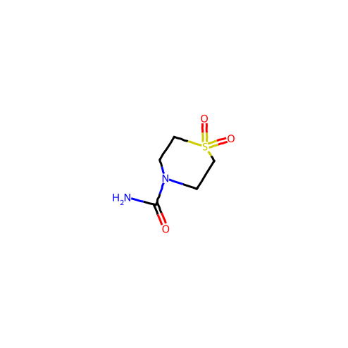 NC(=O)N1CCS(=O)(=O)CC1